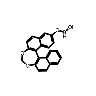 OBOc1ccc2c3c(ccc2c1)OCOc1ccc2ccccc2c1-3